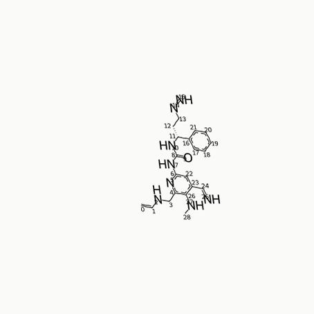 C=CNCc1nc(NC(=O)N[C@H](CCN=N)c2ccccc2)cc(C=N)c1NC